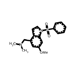 COc1cc(CN(C)C)c2ccn(S(=O)(=O)c3ccccc3)c2c1